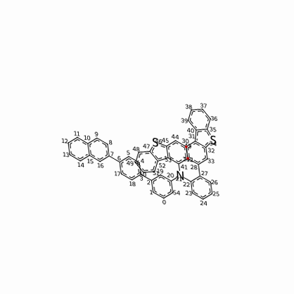 c1cc(-c2ccc(-c3ccc4ccccc4c3)cc2)cc(N(c2ccccc2-c2ccc3c(c2)sc2ccccc23)c2cccc3sc4ccccc4c23)c1